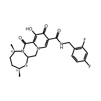 C[C@@H]1CC[C@H](C)SC2Cn3cc(C(=O)NCc4ccc(F)cc4F)c(=O)c(O)c3C(=O)N21